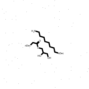 CCCCCCCCCCCC(=O)OCC(O)CO.CCCCCCCCCCCCCCCCCCN